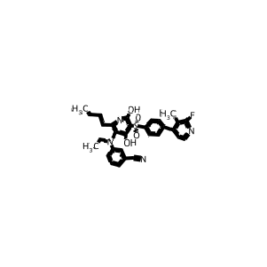 CCCCc1nc(O)c(S(=O)(=O)c2ccc(-c3ccnc(F)c3C)cc2)c(O)c1N(CC)c1cccc(C#N)c1